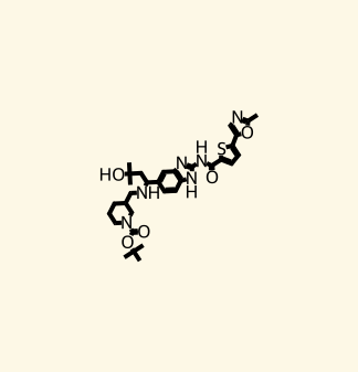 Cc1ncc(-c2ccc(C(=O)Nc3nc4cc(C(CC(C)(C)O)NCC5CCCN(C(=O)OC(C)(C)C)C5)ccc4[nH]3)s2)o1